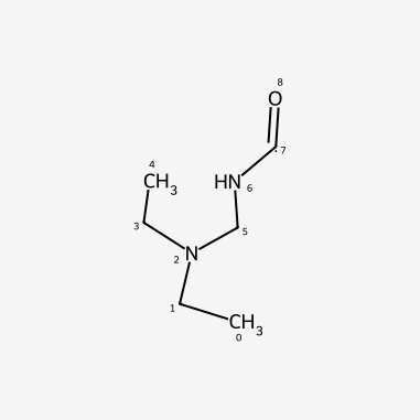 CCN(CC)CN[C]=O